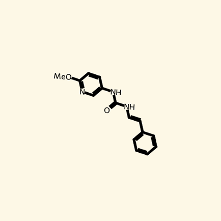 COc1ccc(NC(=O)NC=Cc2ccccc2)cn1